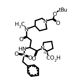 CN(C(=O)CC(NS(=O)(=O)Cc1ccccc1)C(=O)N1CCC[C@H]1C(=O)O)C1CCN(C(=O)OC(C)(C)C)CC1